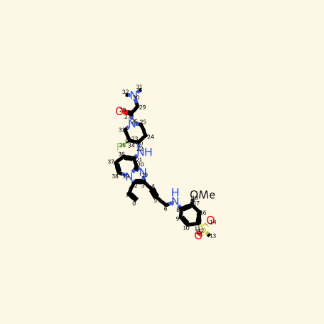 C=Cc1c(C#CCNc2ccc(S(C)(=O)=O)cc2OC)nc2c(N[C@@H]3CCN(C(=O)CN(C)C)C[C@@H]3F)cccn12